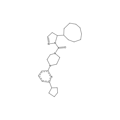 O=C(N1CCN(c2cccc(C3CCCC3)n2)CC1)N1N=CCC1C1CCCCCCCC1